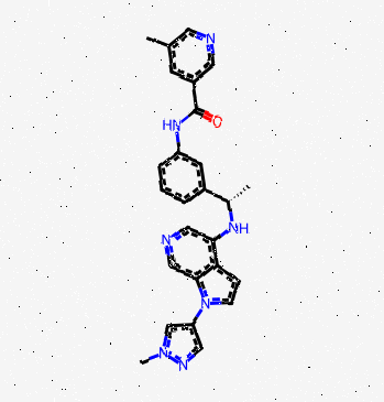 Cc1cncc(C(=O)Nc2cccc([C@H](C)Nc3cncc4c3ccn4-c3cnn(C)c3)c2)c1